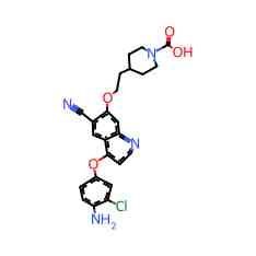 N#Cc1cc2c(Oc3ccc(N)c(Cl)c3)ccnc2cc1OCCC1CCN(C(=O)O)CC1